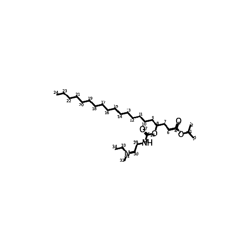 [CH2]C([CH2])OC(=O)CCC(CCCCCCCCCCCCCCCC)OC(=O)NCCN(C)CC